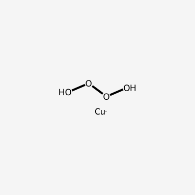 OOOO.[Cu]